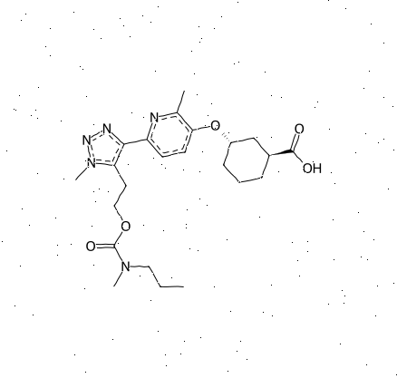 CCCN(C)C(=O)OCCc1c(-c2ccc(O[C@H]3CCC[C@H](C(=O)O)C3)c(C)n2)nnn1C